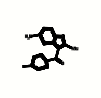 CCCCc1oc2ccc(N)cc2c1C(=O)c1ccc(C)cc1